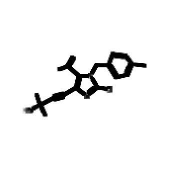 C=C(C)c1c(C#CC(C)(C)O)nc(Cl)n1Cc1ccc(C)cc1